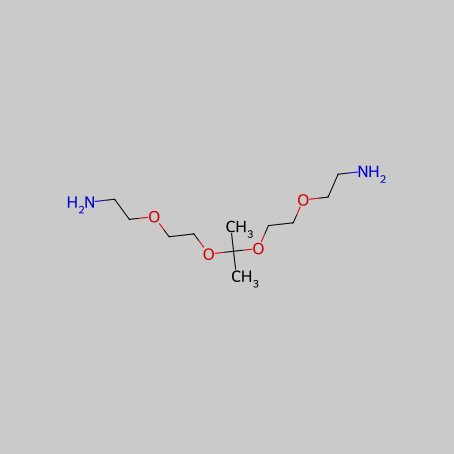 CC(C)(OCCOCCN)OCCOCCN